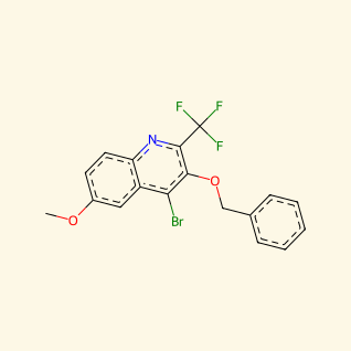 COc1ccc2nc(C(F)(F)F)c(OCc3ccccc3)c(Br)c2c1